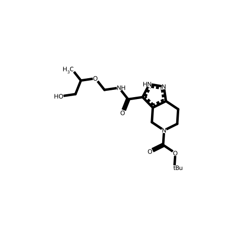 CC(CO)OCNC(=O)c1[nH]nc2c1CN(C(=O)OC(C)(C)C)CC2